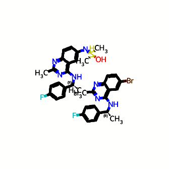 Cc1nc(N[C@H](C)c2ccc(F)cc2)c2cc(Br)ccc2n1.Cc1nc(N[C@H](C)c2ccc(F)cc2)c2cc(N=[SH](C)(C)O)ccc2n1